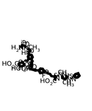 Cc1cc(N(C)c2nc(C(=O)O)c(CCCOc3ccc(C#CCN(C)C(=O)OCc4ccc(NC(=O)C(C)NC(=O)C(N)C(C)C)cc4CC[C@@H]4O[C@H](C(=O)O)[C@@H](O)[C@H](O)[C@H]4O)cc3F)s2)nnc1Nc1nc2ccccc2s1